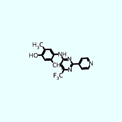 Cc1cc(Nc2cc(C(F)(F)F)nc(-c3ccncc3)n2)c(C)cc1O